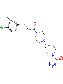 Cc1cc(C[CH]C(=O)N2CCN(C3CCN(C(N)=O)CC3)CC2)ccc1Br